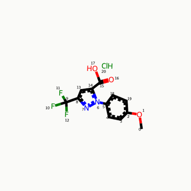 COc1ccc(-n2nc(C(F)(F)F)cc2C(=O)O)cc1.Cl